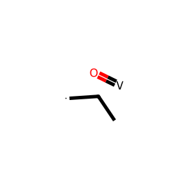 [CH2]CC.[O]=[V]